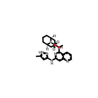 CCS(=O)(=O)N1[C@@H]2CCC[C@H]1C[C@H](Nc1nc(Nc3cc(C)[nH]n3)cc3ncccc13)C2